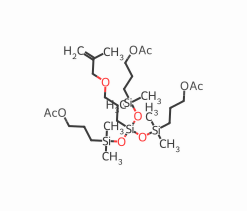 C=C(C)COCCC[Si](O[Si](C)(C)CCCOC(C)=O)(O[Si](C)(C)CCCOC(C)=O)O[Si](C)(C)CCCOC(C)=O